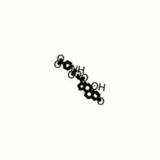 COC(=O)c1ccc(NC(=O)OCC(=O)C2CCC3C4CCC5=CC(=O)C=CC5(C)C4[C@@H](O)CC23C)cc1